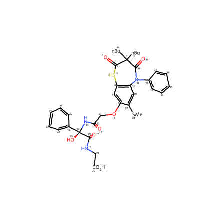 CCCCC1(CCCC)C(=O)[SH]c2cc(OCC(=O)N[C@](O)(C(=O)NCC(=O)O)c3ccccc3)c(SC)cc2N(c2ccccc2)C1=O